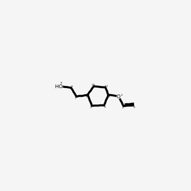 C=COC1CCC(CCO)CC1